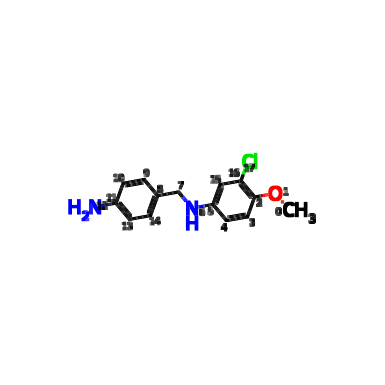 COc1ccc(NCc2ccc(N)cc2)cc1Cl